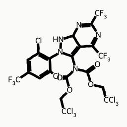 O=C(OCC(Cl)(Cl)Cl)N(C(=O)OCC(Cl)(Cl)Cl)C1=C2C(C(F)(F)F)=NC(C(F)(F)F)=NC2NN1c1c(Cl)cc(C(F)(F)F)cc1Cl